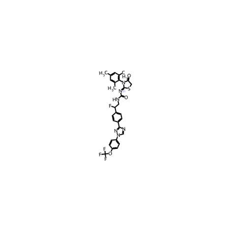 Cc1cc(C)c(N2C(=O)CS/C2=N\C(=O)NCC(F)c2ccc(-c3ncn(-c4ccc(OC(F)(F)F)cc4)n3)cc2)c(C)c1